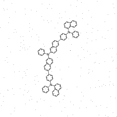 c1ccc(N(c2ccc3cc(-c4ccc(N(c5ccccc5)c5cccc6ccccc56)cc4)ccc3c2)c2ccc3cc(-c4ccc(N(c5ccccc5)c5cccc6ccccc56)cc4)ccc3c2)cc1